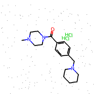 CN1CCN(C(=O)c2ccc(CN3CCCCC3)cc2)CC1.Cl.Cl